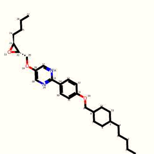 CCCCCC1CCC(COc2ccc(-c3ncc(OC[C@@H]4O[C@H]4CCCC)cn3)cc2)CC1